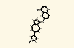 CCc1ccnc2ccc(Sc3nnc4n3CC=C(c3cnn(C)c3)C=C4)cc12